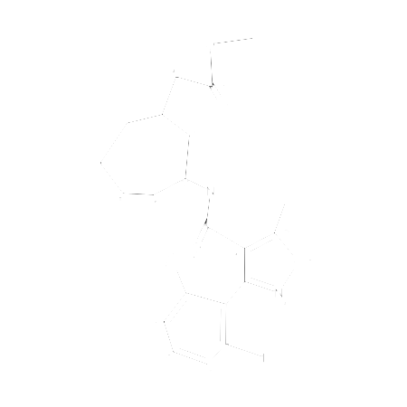 COC(=O)CC1CCCCC(NC(=O)c2c(-c3c(F)cccc3Cl)noc2C)C1